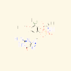 CCOC(=O)C(C)NP(=O)(COCCn1cnc2c(=O)[nH]c(N)nc21)OCc1ccc(OC)c(Cl)c1